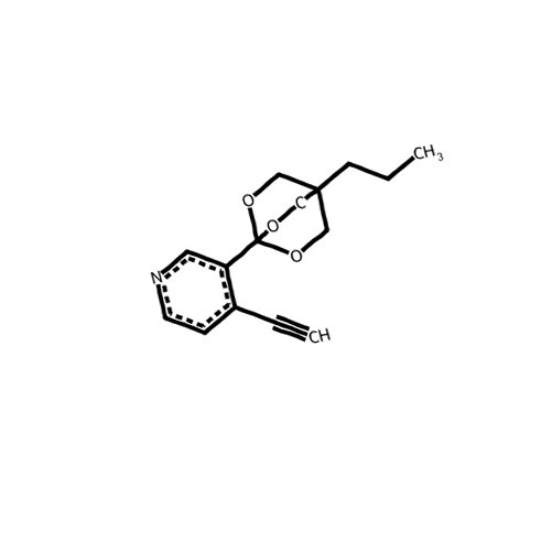 C#Cc1ccncc1C12OCC(CCC)(CO1)CO2